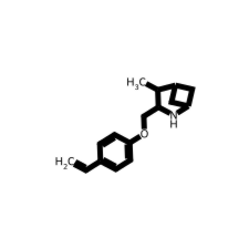 C=Cc1ccc(OCC2NC3CC(C3)C2C)cc1